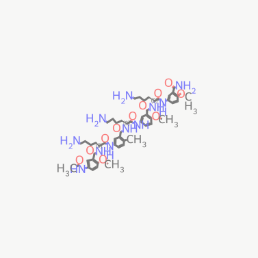 COc1ccc(NC(=O)[C@H](CCCCN)NC(=O)c2cc(NC(=O)[C@H](CCCCN)NC(=O)c3cc(NC(=O)[C@H](CCCCN)NC(=O)c4cc(NC(C)=O)ccc4OC)ccc3C)ccc2OC)cc1C(N)=O